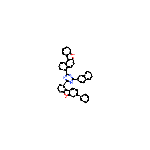 c1ccc(-c2ccc3c(c2)oc2cccc(-c4nc(-c5ccc6ccccc6c5)nc(-c5cccc6c5ccc5oc7ccccc7c56)n4)c23)cc1